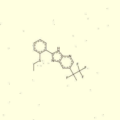 CCSc1ccccc1-c1nc2cc(C(C)(F)C(F)(F)F)cnc2[nH]1